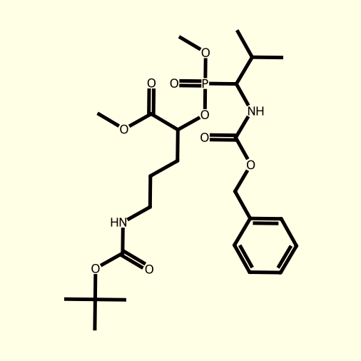 COC(=O)C(CCCNC(=O)OC(C)(C)C)OP(=O)(OC)C(NC(=O)OCc1ccccc1)C(C)C